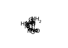 NC(=O)c1ccnc2[nH]c(-c3n[nH]c4ncc(-c5cncc(NC(=O)N6CCOCC6)c5)cc34)nc12